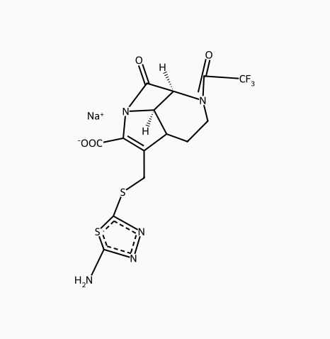 Nc1nnc(SCC2=C(C(=O)[O-])N3C(=O)[C@@H]4[C@H]3C2CCN4C(=O)C(F)(F)F)s1.[Na+]